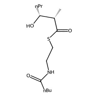 CCCCC(=O)NCCSC(=O)[C@@H](C)[C@H](O)CCC